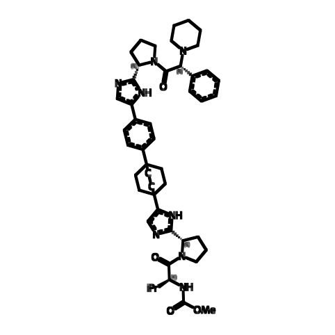 COC(=O)N[C@H](C(=O)N1CCC[C@H]1c1ncc(C23CCC(c4ccc(-c5cnc([C@@H]6CCCN6C(=O)[C@@H](c6ccccc6)N6CCCCC6)[nH]5)cc4)(CC2)CC3)[nH]1)C(C)C